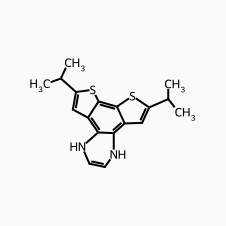 CC(C)c1cc2c3c(c4cc(C(C)C)sc4c2s1)NC=CN3